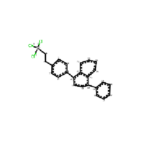 Cl[Si](Cl)(Cl)CCc1ccc(-c2ccc(-c3ccccc3)c3ccccc23)cc1